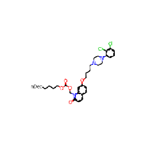 CCCCCCCCCCCCCCOC(=O)OCn1c(=O)ccc2ccc(OCCCCN3CCN(c4cccc(Cl)c4Cl)CC3)cc21